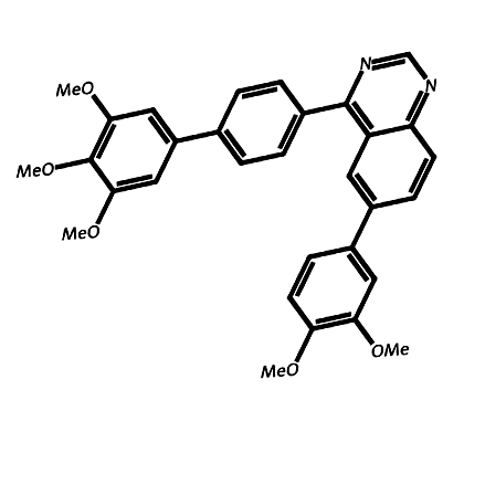 COc1ccc(-c2ccc3ncnc(-c4ccc(-c5cc(OC)c(OC)c(OC)c5)cc4)c3c2)cc1OC